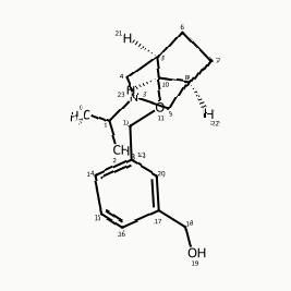 CC(C)N1C[C@H]2CC[C@@H](C1)[C@H]2OCc1cccc(CO)c1